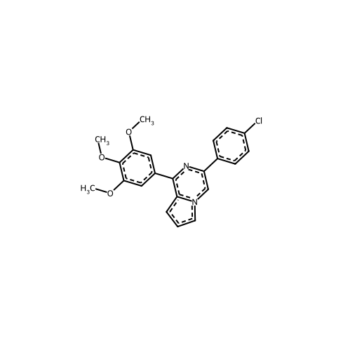 COc1cc(-c2nc(-c3ccc(Cl)cc3)cn3cccc23)cc(OC)c1OC